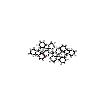 c1ccc([Si](c2ccccc2)(c2cccc3c2oc2c(-n4c5ccccc5c5ccccc54)cccc23)c2cccc3c2sc2c(-n4c5ccccc5c5ccccc54)cccc23)cc1